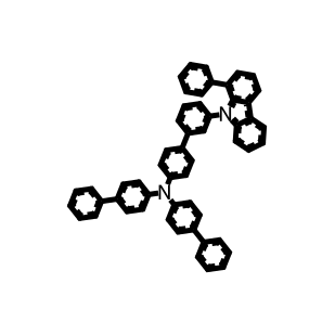 c1ccc(-c2ccc(N(c3ccc(-c4ccccc4)cc3)c3ccc(-c4cccc(-n5c6ccccc6c6cccc(-c7ccccc7)c65)c4)cc3)cc2)cc1